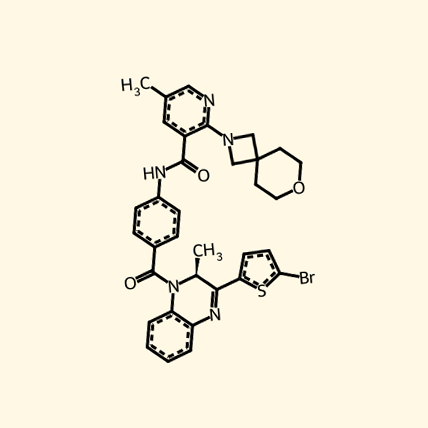 Cc1cnc(N2CC3(CCOCC3)C2)c(C(=O)Nc2ccc(C(=O)N3c4ccccc4N=C(c4ccc(Br)s4)[C@@H]3C)cc2)c1